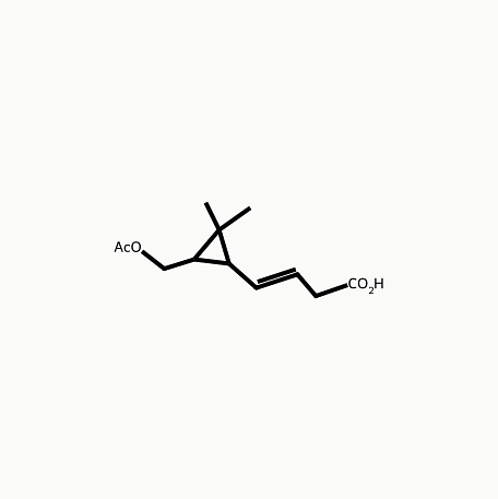 CC(=O)OCC1C(/C=C/CC(=O)O)C1(C)C